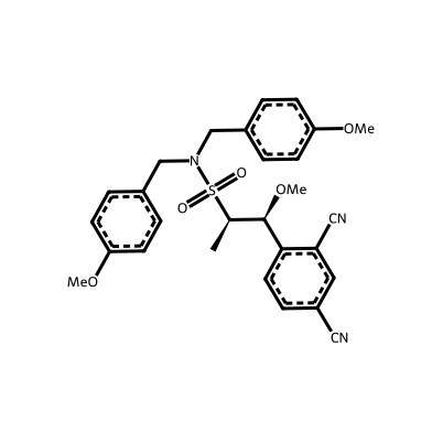 COc1ccc(CN(Cc2ccc(OC)cc2)S(=O)(=O)[C@H](C)[C@@H](OC)c2ccc(C#N)cc2C#N)cc1